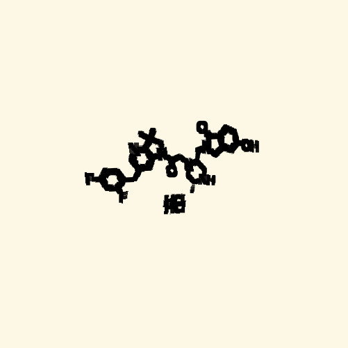 C[C@@H]1CN(CC(=O)N2CC(C)(C)c3ncc(Cc4ccc(F)cc4F)cc32)[C@@H](CN2Cc3cc(O)ccc3C2=O)CN1.Cl.Cl